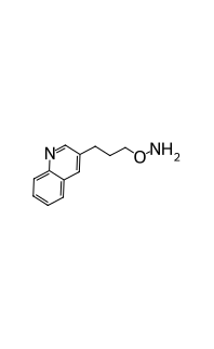 NOCCCc1cnc2ccccc2c1